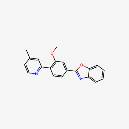 COc1cc(-c2nc3ccccc3o2)ccc1-c1cc(C)ccn1